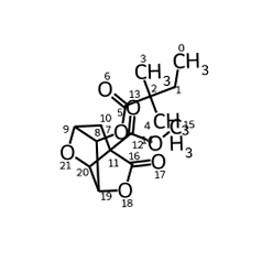 CCC(C)(C)C(=O)OC1C2CC3(C(=O)OC)C(=O)OC1C3O2